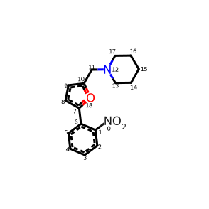 O=[N+]([O-])c1ccccc1-c1ccc(CN2CCCCC2)o1